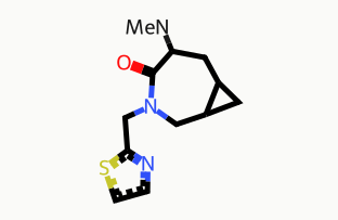 CNC1CC2CC2CN(Cc2nccs2)C1=O